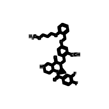 COCCCOc1ccccc1COc1ccc(CN(C(=O)C2CNCCC2NC(=O)c2ccc(F)c(F)c2)C2CC2)c(Cl)c1.Cl